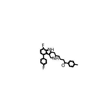 Cc1ccc(C(=O)CCCC2Cc3[nH]c4c(F)ccc(-c5ccc(F)cc5)c4c3CN2)cc1